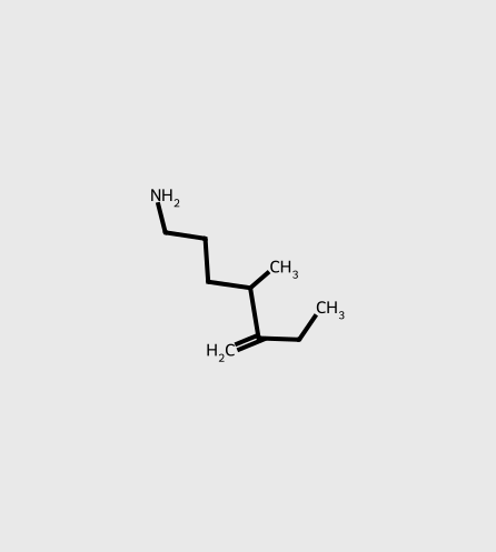 C=C(CC)C(C)CCCN